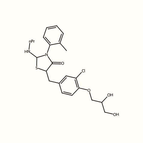 CCCNC1SC(Cc2ccc(OCC(O)CO)c(Cl)c2)C(=O)N1c1ccccc1C